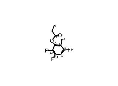 CCC(=O)Oc1c(F)c(F)cc(F)c1F